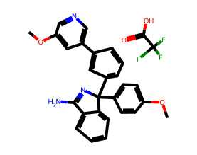 COc1ccc(C2(c3cccc(-c4cncc(OC)c4)c3)N=C(N)c3ccccc32)cc1.O=C(O)C(F)(F)F